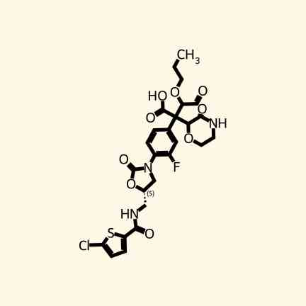 CCCOC(C=O)C(C(=O)O)(c1ccc(N2C[C@H](CNC(=O)c3ccc(Cl)s3)OC2=O)c(F)c1)C1OCCNC1=O